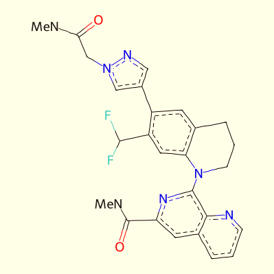 CNC(=O)Cn1cc(-c2cc3c(cc2C(F)F)N(c2nc(C(=O)NC)cc4cccnc24)CCC3)cn1